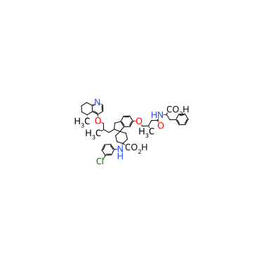 CC(COc1ccc2c(c1)C1(CCC(Nc3cccc(Cl)c3)(C(=O)O)CC1)C(C[C@@H](C)COc1ccnc3c1[C@H](C)CCC3)C2)CC(=O)N[C@H](Cc1ccccc1)C(=O)O